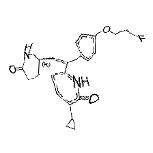 O=C1CC[C@H](C=C(c2ccc(OCCF)cc2)c2ccc(C3CC3)c(=O)[nH]2)N1